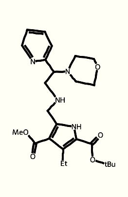 CCc1c(C(=O)OC(C)(C)C)[nH]c(CNCC(c2ccccn2)N2CCOCC2)c1C(=O)OC